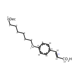 CCCCCCCCCCCCCCCCOc1ccc(/C=C/C(=O)O)cc1